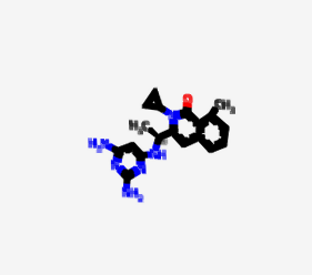 Cc1cccc2cc([C@H](C)Nc3cc(N)nc(N)n3)n(C3CC3)c(=O)c12